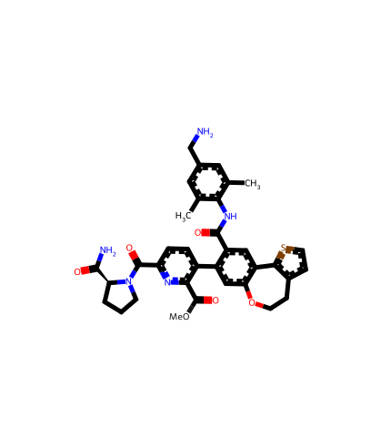 COC(=O)c1nc(C(=O)N2CCC[C@H]2C(N)=O)ccc1-c1cc2c(cc1C(=O)Nc1c(C)cc(CN)cc1C)-c1sccc1CCO2